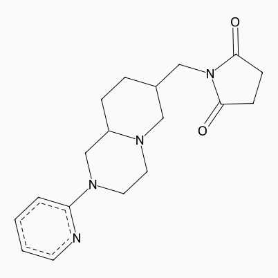 O=C1CCC(=O)N1CC1CCC2CN(c3ccccn3)CCN2C1